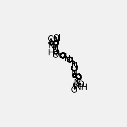 N#Cc1c[nH]c2c(N3CCO[C@@H](c4ccc(N5CCC(CN6CCC(n7ccc8c(N9CCC(=O)NC9=O)cccc87)CC6)CC5)cc4)C3)ccc(Cl)c12